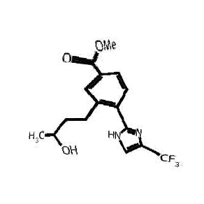 COC(=O)c1ccc(-c2nc(C(F)(F)F)c[nH]2)c(CCC(C)O)c1